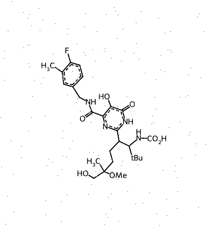 COC(C)(CO)CCC(c1nc(C(=O)NCc2ccc(F)c(C)c2)c(O)c(=O)[nH]1)C(NC(=O)O)C(C)(C)C